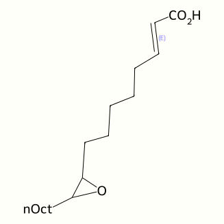 CCCCCCCCC1OC1CCCCC/C=C/C(=O)O